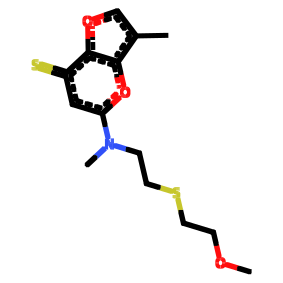 COCCSCCN(C)c1cc(=S)c2occ(C)c2o1